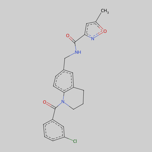 Cc1cc(C(=O)NCc2ccc3c(c2)CCCN3C(=O)c2cccc(Cl)c2)no1